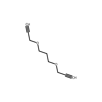 C#CCOCCCOCC#C